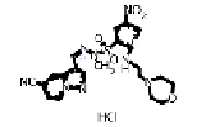 CN(/N=C\c1cnn2ccc(C#N)cc12)S(=O)(=O)c1cc([N+](=O)[O-])ccc1NCCN1CCOCC1.Cl